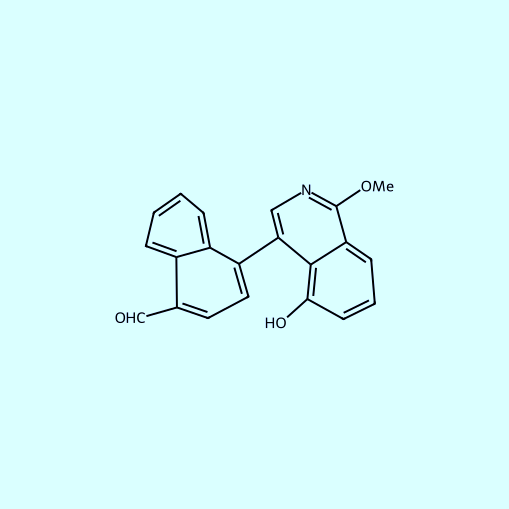 COc1ncc(-c2ccc(C=O)c3ccccc23)c2c(O)cccc12